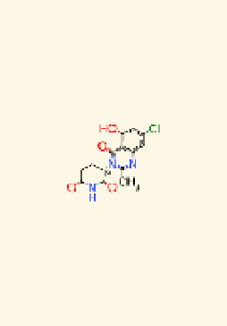 Cc1nc2cc(Cl)cc(O)c2c(=O)n1[C@H]1CCC(=O)NC1=O